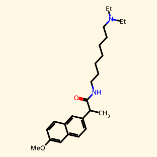 CCN(CC)CCCCCCCNC(=O)C(C)c1ccc2cc(OC)ccc2c1